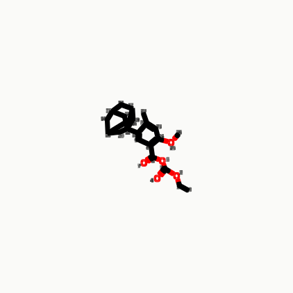 CCOC(=O)OC(=O)c1cc(C23CC4CC(CC(C4)C2)C3)c(C)cc1OC